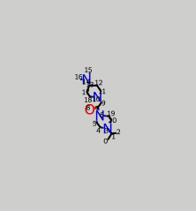 CC(C)N1CCN(C(=O)CN2CCC(N(C)C)CC2)CC1